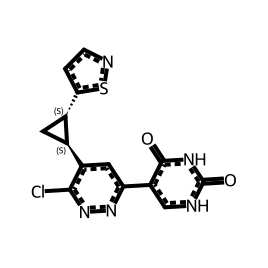 O=c1[nH]cc(-c2cc([C@H]3C[C@@H]3c3ccns3)c(Cl)nn2)c(=O)[nH]1